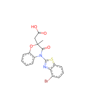 CC1(CC(=O)O)Oc2ccccc2N(c2nc3c(Br)cccc3s2)C1=O